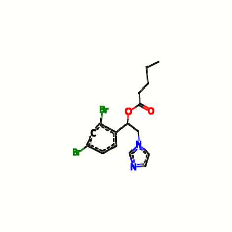 CCCCC(=O)OC(Cn1ccnc1)c1ccc(Br)cc1Br